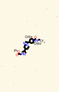 COc1cc(-c2cnc3cc(-c4cnn(CC(=O)OC(C)C)c4)ccn23)cc(OC)c1C(=O)NCC(F)(F)F